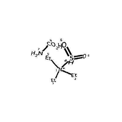 CC[N+](CC)(CC)[SH](=O)=O.NC(=O)O